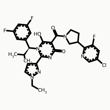 CCn1ccc(-c2nc(=O)c(C(=O)N3CCC(c4ncc(Cl)cc4F)C3)c(O)n2[C@H](c2cc(F)cc(F)c2)C(C)C)n1